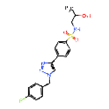 CC(O)CNS(=O)(=O)c1ccc(-c2cn(Cc3ccc(F)cc3)nn2)cc1